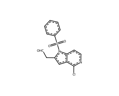 O=CCc1cc2c(Cl)nccc2n1S(=O)(=O)c1ccccc1